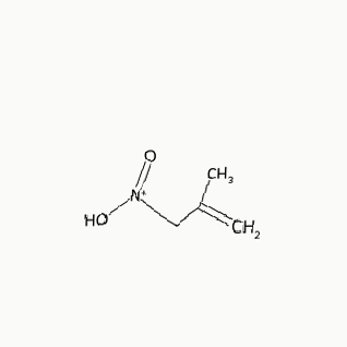 C=C(C)C[N+](=O)O